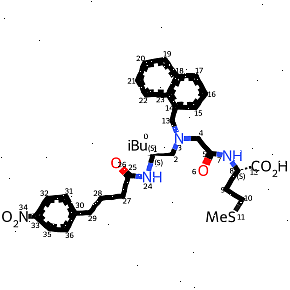 CC[C@H](C)[C@@H](CN(CC(=O)N[C@@H](CCSC)C(=O)O)Cc1cccc2ccccc12)NC(=O)CCCc1ccc([N+](=O)[O-])cc1